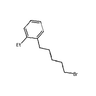 CCc1ccccc1CCCCCBr